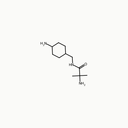 CC(C)(N)C(=O)NCC1CCC(N)CC1